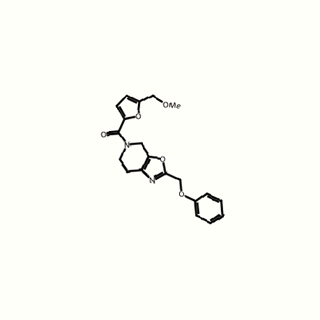 COCc1ccc(C(=O)N2CCc3nc(COc4ccccc4)oc3C2)o1